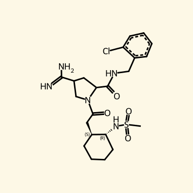 CS(=O)(=O)N[C@@H]1CCCC[C@H]1CC(=O)N1CC(C(=N)N)CC1C(=O)NCc1ccccc1Cl